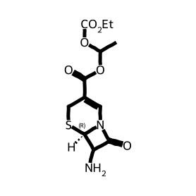 CCOC(=O)OC(C)OC(=O)C1=CN2C(=O)C(N)[C@H]2SC1